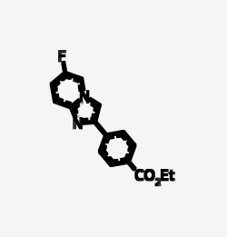 CCOC(=O)c1ccc(-c2cn3cc(F)ccc3n2)cc1